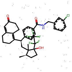 C[C@@H]1CCC(O)(C(F)(F)C(F)(F)F)C1(C)C[C@@H](C1=C2CCC(=O)C=C2CCC1)c1ccc(C(=O)NCc2cccc(Cl)c2)cc1